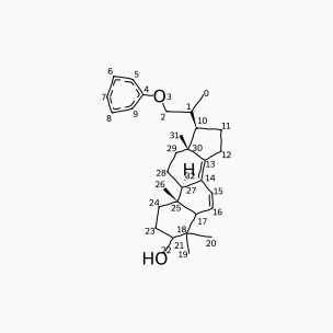 CC(COc1ccccc1)[C@H]1CCC2=C3C=CC4C(C)(C)C(O)CC[C@]4(C)[C@H]3CC[C@@]21C